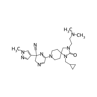 CN(C)CCN1CC2(CCN(C3=NC(C#N)(c4cnn(C)c4)CN=C3)CC2)N(CC2CC2)C1=O